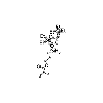 C=C(C)C(=O)OCCC[SiH2]OCC(O[Si](CC)(CC)CC)O[Si](CC)(CC)CC